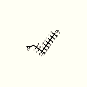 FC(F)(F)C(F)(F)C(F)(F)C(F)(F)C(F)(F)C(F)(F)C(F)(F)C(F)(C(F)(F)F)C(F)(F)C(F)(F)CC1CO1